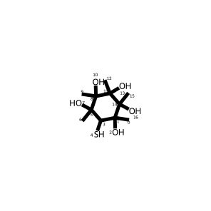 CC1(O)C(S)C(C)(O)C(C)(O)C(C)(O)C1(C)O